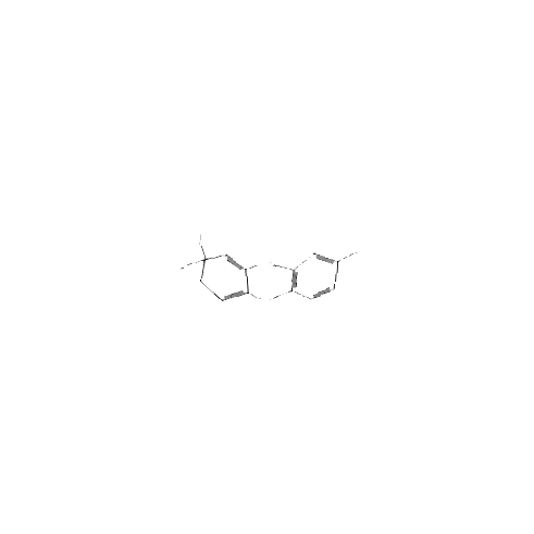 Cc1ccc2c(c1)OC1=CC(C)(I)CC=C1S2